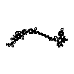 CNC(=O)COc1cc2cc(Nc3nc(N4CCC(C(=O)NCCCCCCCCCNC(=O)C[C@@H]5N=C(c6ccc(Cl)cc6)c6c(sc(C)c6C)-n6c(C)nnc65)CC4)ncc3Cl)cc(OC)c2n(C)c1=O